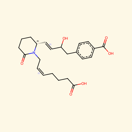 O=C(O)CCC/C=C\CN1C(=O)CCC[C@@H]1/C=C/C(O)Cc1ccc(C(=O)O)cc1